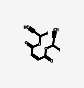 C#CC(I)OC(=O)/C=C\C(=O)OC(I)C#C